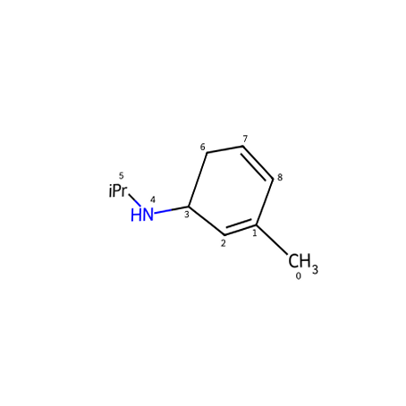 CC1=CC(NC(C)C)CC=C1